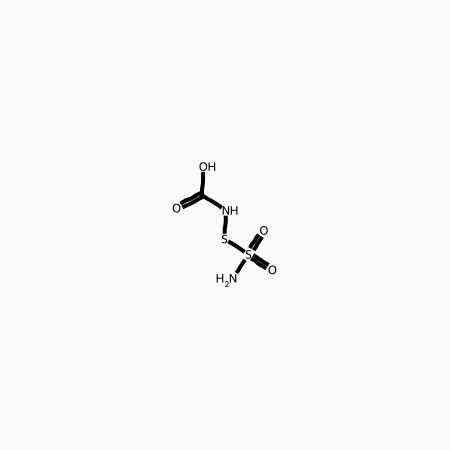 NS(=O)(=O)SNC(=O)O